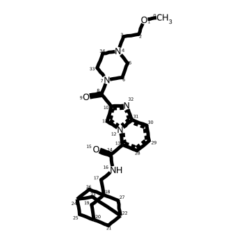 COCCN1CCN(C(=O)c2cn3c(C(=O)NCC45CC6CC(CC(C6)C4)C5)cccc3n2)CC1